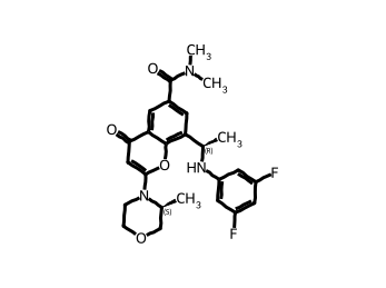 C[C@@H](Nc1cc(F)cc(F)c1)c1cc(C(=O)N(C)C)cc2c(=O)cc(N3CCOC[C@@H]3C)oc12